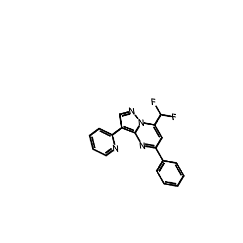 FC(F)c1cc(-c2ccccc2)nc2c(-c3ccccn3)cnn12